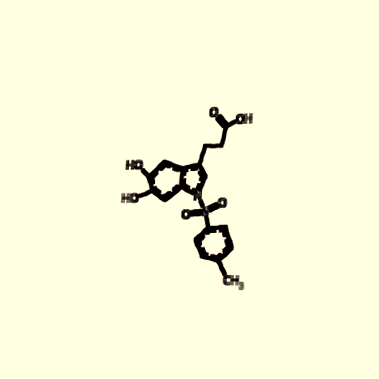 Cc1ccc(S(=O)(=O)n2cc(CCC(=O)O)c3cc(O)c(O)cc32)cc1